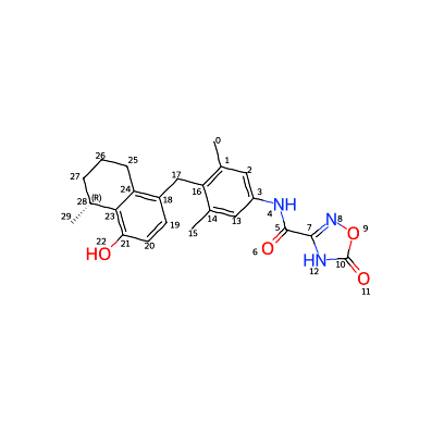 Cc1cc(NC(=O)c2noc(=O)[nH]2)cc(C)c1Cc1ccc(O)c2c1CCC[C@H]2C